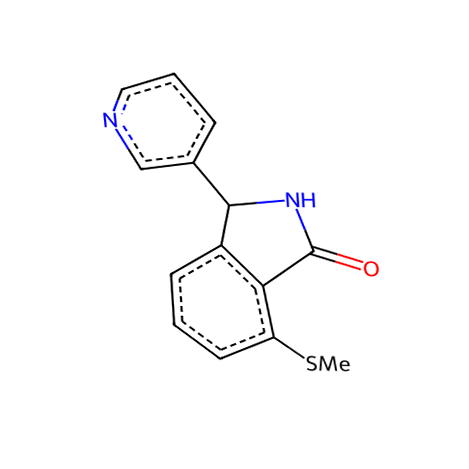 CSc1cccc2c1C(=O)NC2c1cccnc1